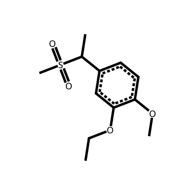 CCOc1cc(C(C)S(C)(=O)=O)ccc1OC